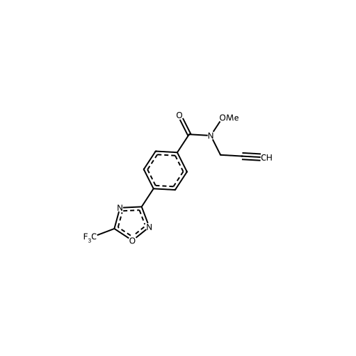 C#CCN(OC)C(=O)c1ccc(-c2noc(C(F)(F)F)n2)cc1